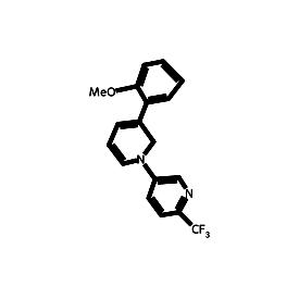 COc1ccccc1C1=CC=CN(c2ccc(C(F)(F)F)nc2)C1